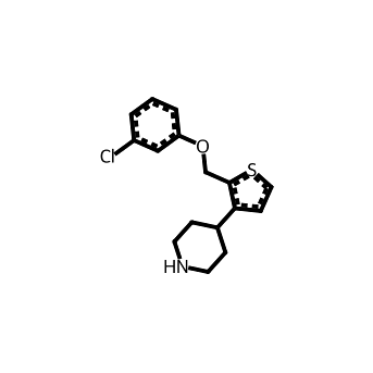 Clc1cccc(OCc2sccc2C2CCNCC2)c1